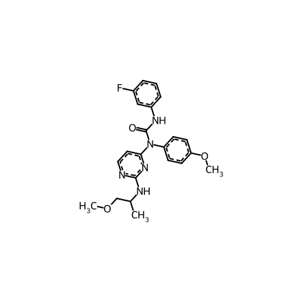 COCC(C)Nc1nccc(N(C(=O)Nc2cccc(F)c2)c2ccc(OC)cc2)n1